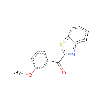 CCCOc1cccc(C(=O)c2nc3ccccc3s2)c1